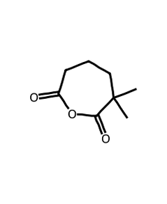 CC1(C)CCCC(=O)OC1=O